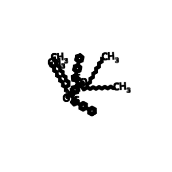 CCCCCCCCCCCCC(CCCCCCCCCC)CN1C(=O)C(c2ccc(-c3ccc(-c4ccccc4)cc3)s2)=c2cc3c(cc21)=C(c1ccc(-c2ccc(-c4ccccc4)cc2)s1)C(=O)N3CC(CCCCCCCCCC)CCCCCCCCCCCC